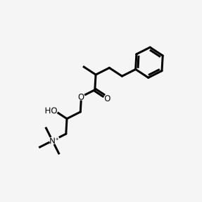 CC(CCc1ccccc1)C(=O)OCC(O)C[N+](C)(C)C